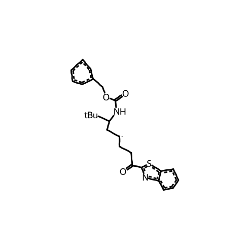 CC(C)(C)C(C[CH]CCC(=O)c1nc2ccccc2s1)NC(=O)OCc1ccccc1